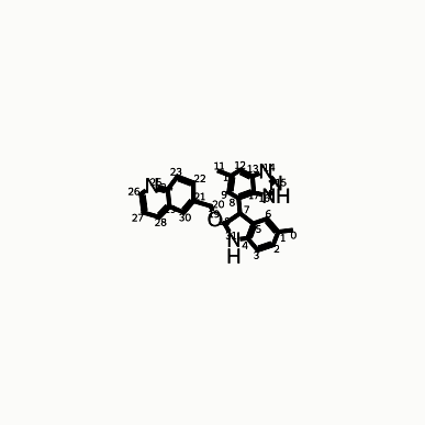 Cc1ccc2c(c1)C(c1cc(C)cc3nn[nH]c13)C(OCc1ccc3ncccc3c1)N2